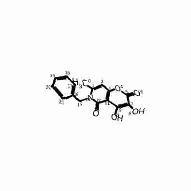 Cc1cc2oc(=O)c(O)c(O)c2c(=O)n1Cc1ccccc1